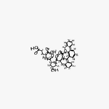 O=C(O)CC[C@H](NC(=O)[C@@H]1C[C@@H](O)CN1C(=O)C(Cc1ccccc1)N(Cc1ccccc1)C(=O)OCc1ccccc1)C(=O)O